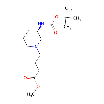 COC(=O)CCCN1CCC[C@@H](NC(=O)OC(C)(C)C)C1